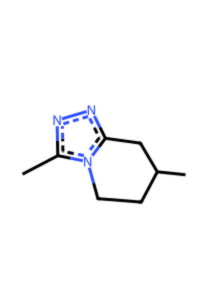 Cc1nnc2n1CCC(C)C2